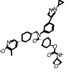 COc1ncc([C@H]2CC[C@H](CN(c3cccc(-c4cnn(C5CC5)c4)c3)C(=O)[C@H]3CC[C@H](OC(=O)NC4COC4)CC3)CC2)cc1C